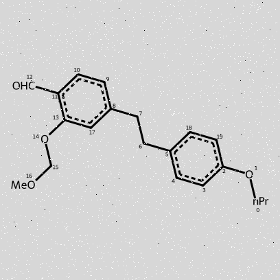 CCCOc1ccc(CCc2ccc(C=O)c(OCOC)c2)cc1